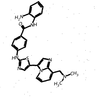 CN(C)Cc1cccn2c(-c3cnc(Nc4ccc(C(=O)Nc5ccccc5N)cc4)s3)cnc12